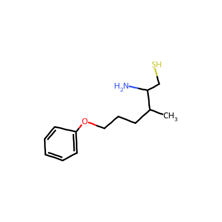 CC(CCCOc1ccccc1)C(N)CS